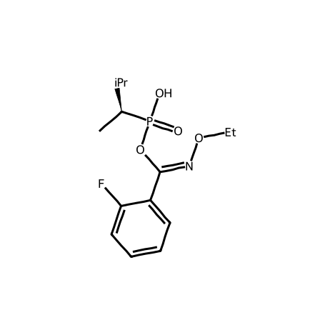 CCO/N=C(\OP(=O)(O)[C@@H](C)C(C)C)c1ccccc1F